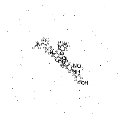 CC1(C)CCC(CN2CCN(c3ccc(C(=O)NS(=O)(=O)c4ccc(NCC5CCC(O)CC5)c([N+](=O)[O-])c4)c(Oc4cnc5[nH]ccc5c4)c3)CC2)=C(C23CC(C)(C2)C3)C1